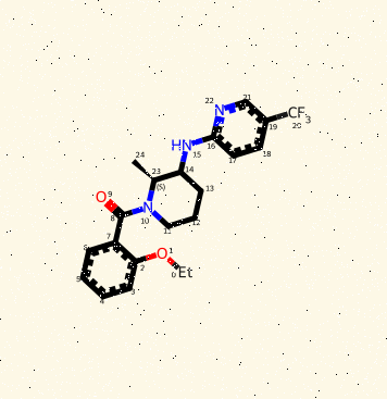 CCOc1ccccc1C(=O)N1CCCC(Nc2ccc(C(F)(F)F)cn2)[C@@H]1C